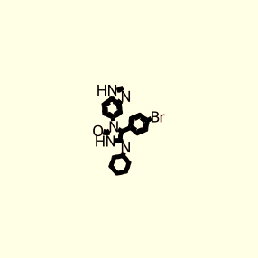 O=C1NC(=NC2CCCCC2)C(c2ccc(Br)cc2)N1c1ccc2[nH]cnc2c1